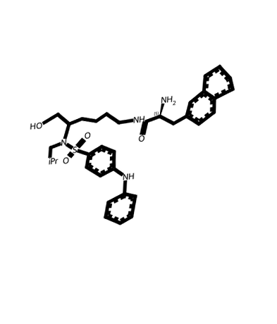 CC(C)CN(C(CO)CCCCNC(=O)[C@@H](N)Cc1ccc2ccccc2c1)S(=O)(=O)c1ccc(Nc2ccccc2)cc1